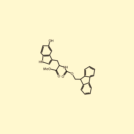 COC(=O)C(Cc1c[nH]c2ccc(O)cc12)NC(=O)OCC1c2ccccc2-c2ccccc21